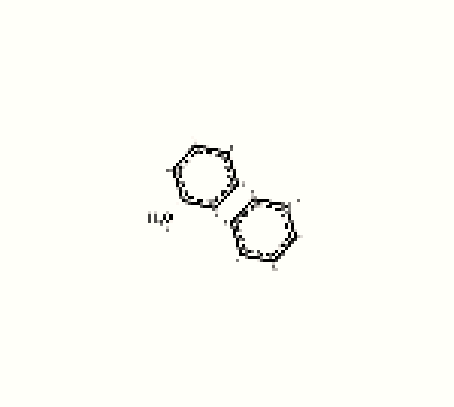 O.c1ccccc1.c1ccncc1